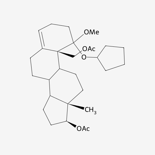 COC1(OC2CCCC2)CCC=C2CCC3C4CC[C@H](OC(C)=O)[C@@]4(C)CCC3[C@]21COC(C)=O